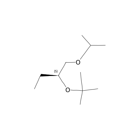 CC[C@@H](COC(C)C)OC(C)(C)C